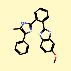 COc1ccc2nc(-c3ccccc3-c3nc(-c4ccccc4)c(C)[nH]3)[nH]c2c1